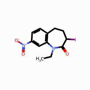 CCN1C(=O)C(I)CCc2ccc([N+](=O)[O-])cc21